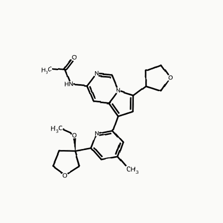 CO[C@]1(c2cc(C)cc(-c3cc(C4CCOC4)n4cnc(NC(C)=O)cc34)n2)CCOC1